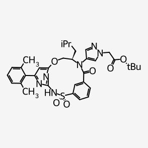 Cc1cccc(C)c1-c1cc2nc(n1)NS(=O)(=O)c1cccc(c1)C(=O)N(c1cnn(CC(=O)OC(C)(C)C)c1)[C@H](CC(C)C)CO2